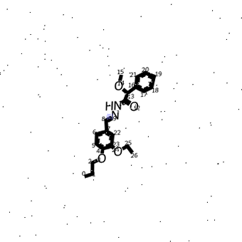 CCCOc1ccc(/C=N/NC(=O)C(OC)c2ccccc2)cc1OCC